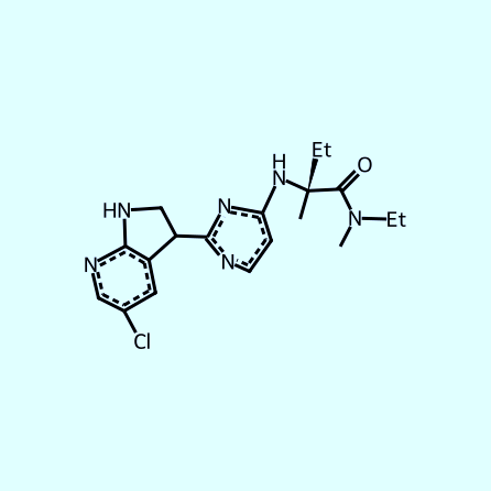 CCN(C)C(=O)[C@@](C)(CC)Nc1ccnc(C2CNc3ncc(Cl)cc32)n1